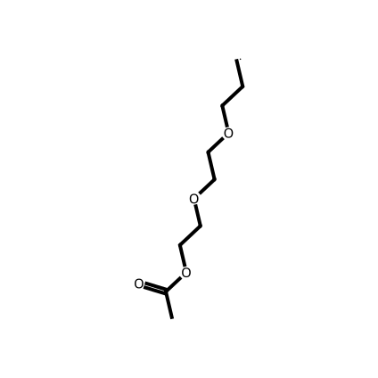 [CH2]CCOCCOCCOC(C)=O